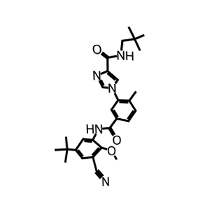 COc1c(C#N)cc(C(C)(C)C)cc1NC(=O)c1ccc(C)c(-n2cnc(C(=O)NCC(C)(C)C)c2)c1